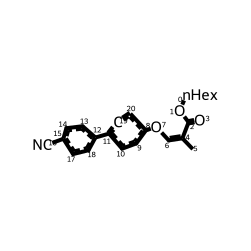 CCCCCCOC(=O)C(C)=COc1ccc(-c2ccc(C#N)cc2)cc1